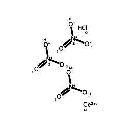 Cl.O=[N+]([O-])[O-].O=[N+]([O-])[O-].O=[N+]([O-])[O-].[Ce+3]